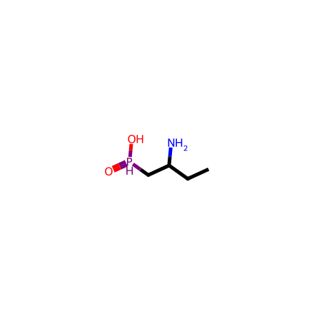 CCC(N)C[PH](=O)O